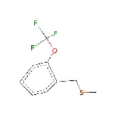 CSCc1ccccc1OC(F)(F)F